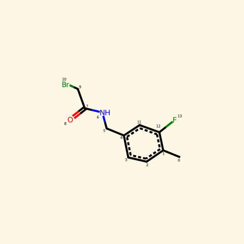 Cc1ccc(CNC(=O)CBr)cc1F